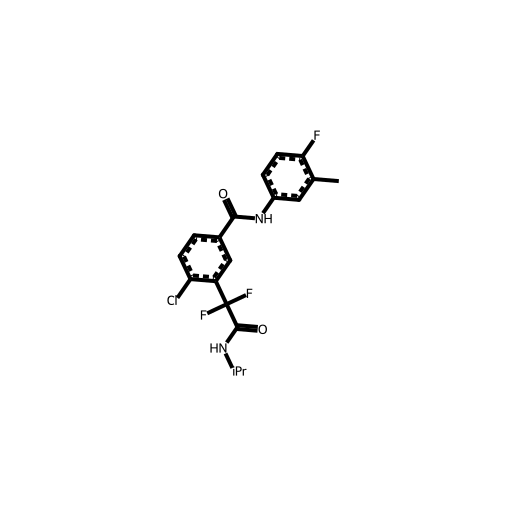 Cc1cc(NC(=O)c2ccc(Cl)c(C(F)(F)C(=O)NC(C)C)c2)ccc1F